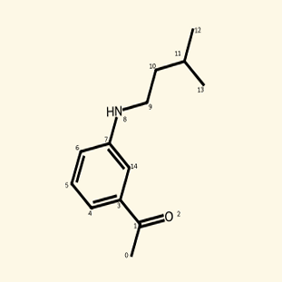 CC(=O)c1cccc(NCCC(C)C)c1